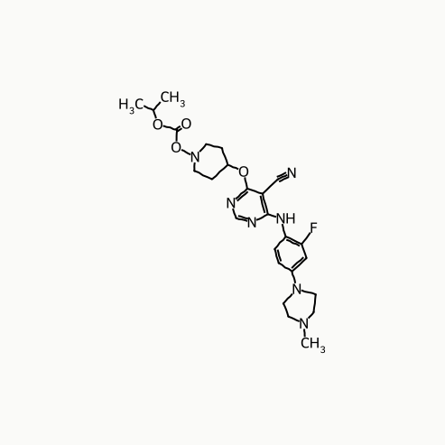 CC(C)OC(=O)ON1CCC(Oc2ncnc(Nc3ccc(N4CCN(C)CC4)cc3F)c2C#N)CC1